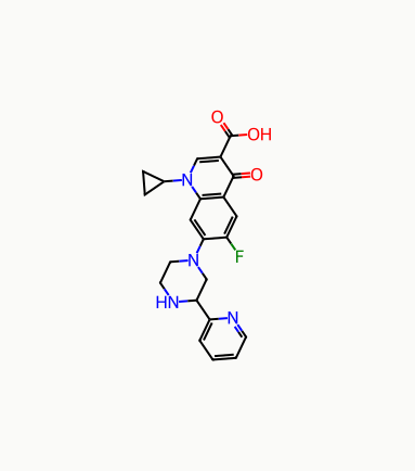 O=C(O)c1cn(C2CC2)c2cc(N3CCNC(c4ccccn4)C3)c(F)cc2c1=O